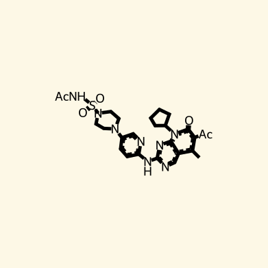 CC(=O)NS(=O)(=O)N1CCN(c2ccc(Nc3ncc4c(C)c(C(C)=O)c(=O)n(C5CCCC5)c4n3)nc2)CC1